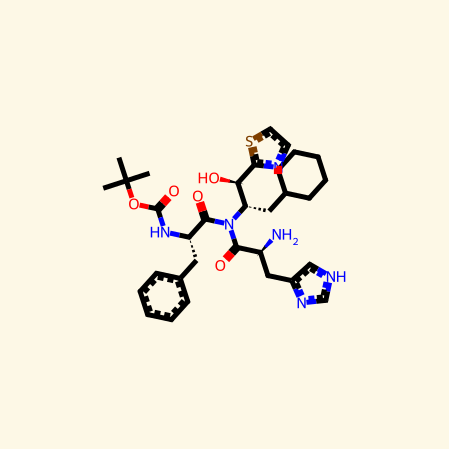 CC(C)(C)OC(=O)N[C@@H](Cc1ccccc1)C(=O)N(C(=O)[C@@H](N)Cc1c[nH]cn1)[C@@H](CC1CCCCC1)[C@@H](O)c1nccs1